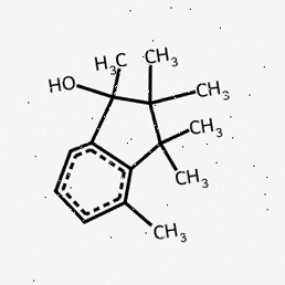 Cc1cccc2c1C(C)(C)C(C)(C)C2(C)O